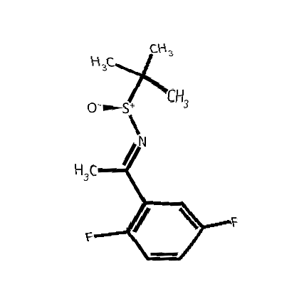 C/C(=N\[S@@+]([O-])C(C)(C)C)c1cc(F)ccc1F